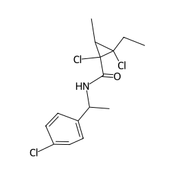 CCC1(Cl)C(C)C1(Cl)C(=O)NC(C)c1ccc(Cl)cc1